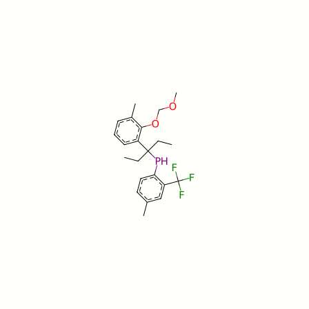 CCC(CC)(Pc1ccc(C)cc1C(F)(F)F)c1cccc(C)c1OCOC